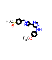 C[S+]([O-])c1ccc(Cn2cc(-c3cc(Nc4ccc(OC(F)(F)F)cc4)ncn3)cn2)cc1